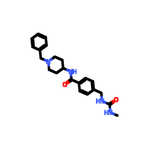 CNC(=O)NCc1ccc(C(=O)NC2CCN(Cc3ccccc3)CC2)cc1